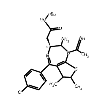 CCCCNC(=O)C[C@@H]1N=C(c2ccc(Cl)cc2)C2=C(SC(C)C2C)N(C(C)=N)C1N